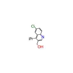 CC(C)c1c(CO)cnc2ccc(Cl)cc12